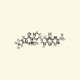 Cn1cc(-c2ccnc(N3CCn4c(cc5c4CC(C)(C)C5)C3=O)c2CO)cc(Nc2ccnc(C3CC3)n2)c1=O